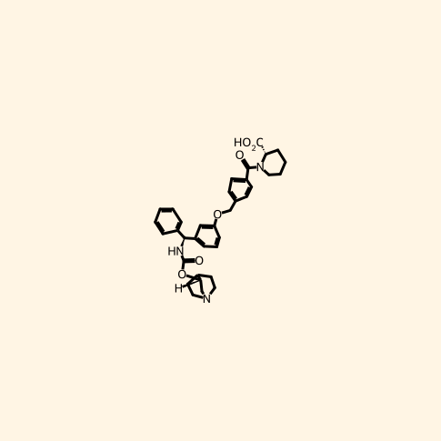 O=C(N[C@@H](c1ccccc1)c1cccc(OCc2ccc(C(=O)N3CCCC[C@H]3C(=O)O)cc2)c1)O[C@H]1CN2CCC1CC2